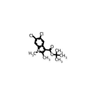 Cc1c(C(=O)OC(C)(C)C)c2cc(Cl)c(Cl)cc2n1C